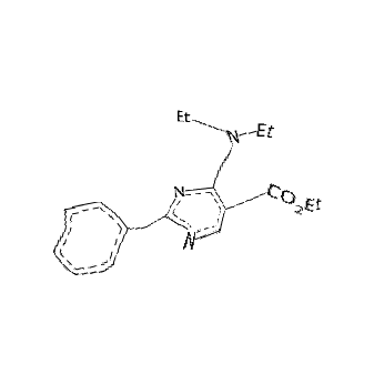 CCOC(=O)c1cnc(-c2ccccc2)nc1N(CC)CC